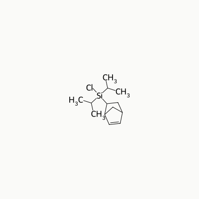 CC(C)[Si](Cl)(C(C)C)C1CC2C=CC1C2